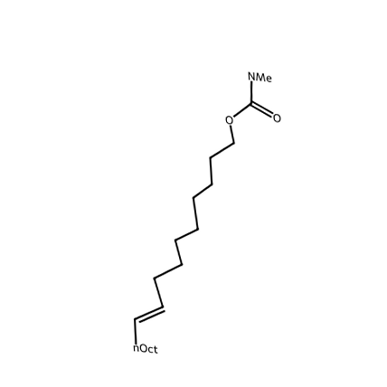 CCCCCCCC/C=C/CCCCCCCCOC(=O)NC